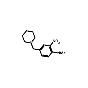 CNc1ccc(CN2CCCCC2)cc1[N+](=O)[O-]